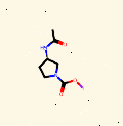 CC(=O)N[C@@H]1CCN(C(=O)OI)C1